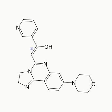 O/C(=C\C1=Nc2cc(N3CCOCC3)ccc2C2=NCCN12)c1cccnc1